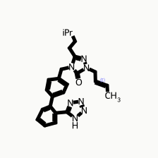 C/C=C/Cn1nc(CCC(C)C)n(Cc2ccc(-c3ccccc3-c3nnn[nH]3)cc2)c1=O